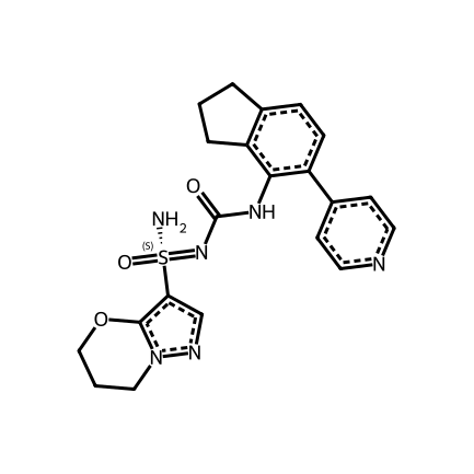 N[S@](=O)(=NC(=O)Nc1c(-c2ccncc2)ccc2c1CCC2)c1cnn2c1OCCC2